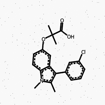 Cc1c(-c2cccc(Cl)c2)c2cc(OC(C)(C)C(=O)O)ccc2n1C